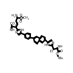 CCC(C(=N)C(=O)OC(C)(C)C)c1ncc(-c2ccc3cc(-c4ccc(-c5cnc(C(CCC(N)S(C)(=O)=O)C(=N)C(=O)O)[nH]5)cc4)ccc3c2)[nH]1